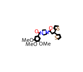 COc1cc(C(=O)N2CCN(C(=O)C=C(c3cccs3)c3cccs3)CC2)cc(OC)c1OC